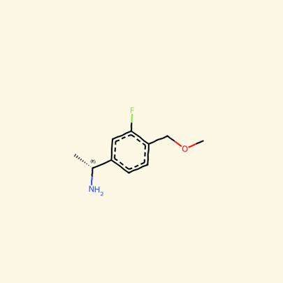 COCc1ccc([C@@H](C)N)cc1F